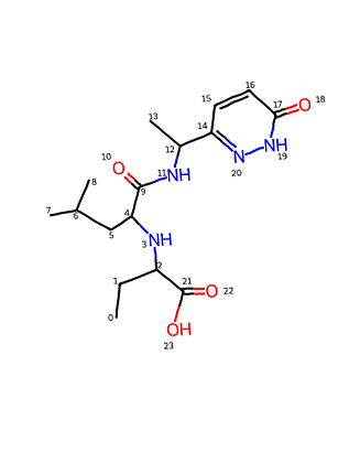 CCC(NC(CC(C)C)C(=O)NC(C)c1ccc(=O)[nH]n1)C(=O)O